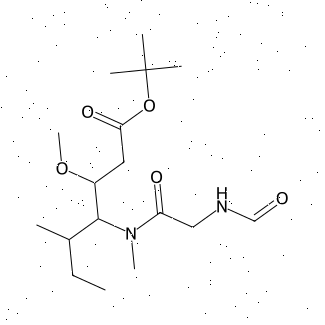 CCC(C)C(C(CC(=O)OC(C)(C)C)OC)N(C)C(=O)CNC=O